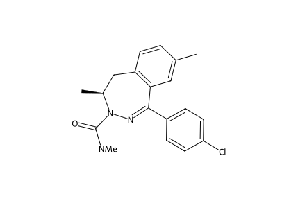 CNC(=O)N1N=C(c2ccc(Cl)cc2)c2cc(C)ccc2C[C@@H]1C